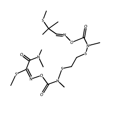 CSC(=NOC(=O)N(C)SCCSN(C)C(=O)ON=CC(C)(C)SC)C(=O)N(C)C